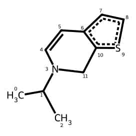 CC(C)N1C=Cc2ccsc2C1